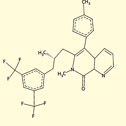 Cc1ccc(C2=C(C[C@@H](C)Cc3cc(C(F)(F)F)cc(C(F)(F)F)c3)N(C)C(=O)C3N=CC=CC23)cc1